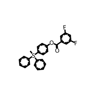 CS(c1ccccc1)(c1ccccc1)c1ccc(OC(=O)c2cc(F)cc(F)c2)cc1